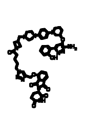 Nc1nnc(-c2ccccc2O)cc1OC1CCCN(c2ccc(N3CCN(CC4CN(C(=O)CCCCn5cc(COc6cccc7c6C(=O)N(C6CCC(=O)NC6=O)C7=O)nn5)C4)CC3)cc2)C1